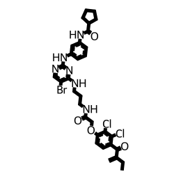 C=C(CC)C(=O)c1ccc(OCC(=O)NCCCNc2nc(Nc3cccc(NC(=O)C4CCCC4)c3)ncc2Br)c(Cl)c1Cl